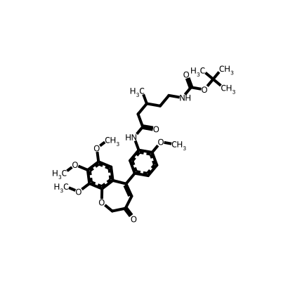 COc1ccc(C2=CC(=O)COc3c2cc(OC)c(OC)c3OC)cc1NC(=O)CC(C)CCNC(=O)OC(C)(C)C